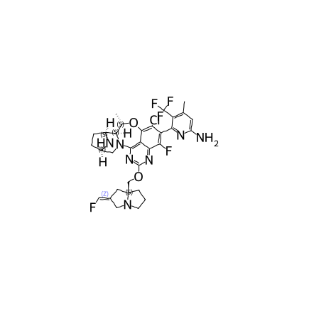 Cc1cc(N)nc(-c2c(Cl)c3c4c(nc(OC[C@@]56CCCN5C/C(=C\F)C6)nc4c2F)N2C[C@H]4CC[C@H](N4)[C@H]2[C@H](C)O3)c1C(F)(F)F